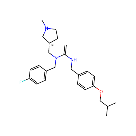 C=C(NCc1ccc(OCC(C)C)cc1)N(Cc1ccc(F)cc1)C[C@H]1CCN(C)C1